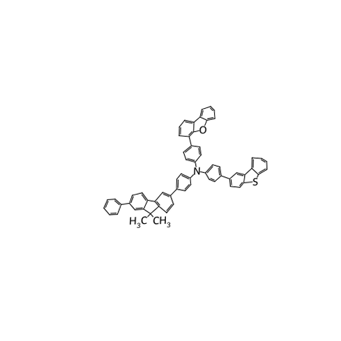 CC1(C)c2ccc(-c3ccc(N(c4ccc(-c5ccc6sc7ccccc7c6c5)cc4)c4ccc(-c5cccc6c5oc5ccccc56)cc4)cc3)cc2-c2ccc(-c3ccccc3)cc21